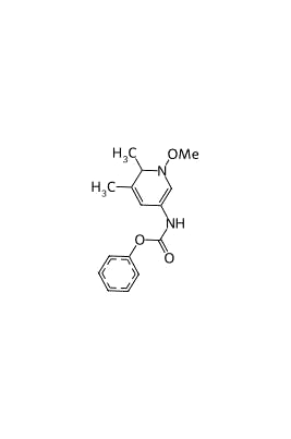 CON1C=C(NC(=O)Oc2ccccc2)C=C(C)C1C